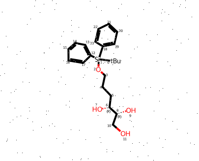 CC(C)(C)[Si](OCCC[C@@H](O)[C@H](O)CO)(c1ccccc1)c1ccccc1